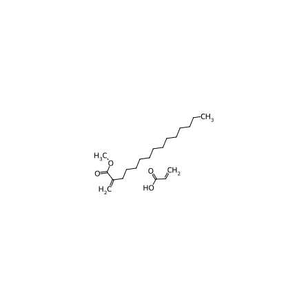 C=C(CCCCCCCCCCCCC)C(=O)OC.C=CC(=O)O